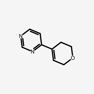 C1=C(c2ccncn2)CCOC1